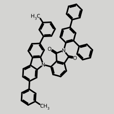 Cc1cccc(-c2ccc3c4ccc(-c5cccc(C)c5)cc4n(-c4cccc5c4C(=O)N(c4ccc(-c6ccccc6)cc4-c4ccccc4)C5=O)c3c2)c1